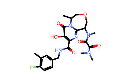 Cc1cc(CNC(=O)c2nc3n(c(=O)c2O)C(C)COCC3N(C)C(=O)C(=O)N(C)C)ccc1F